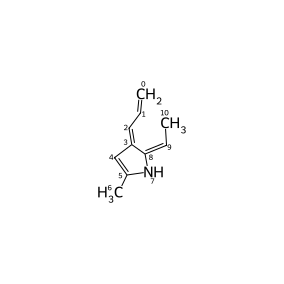 C=C/C=c1/cc(C)[nH]/c1=C/C